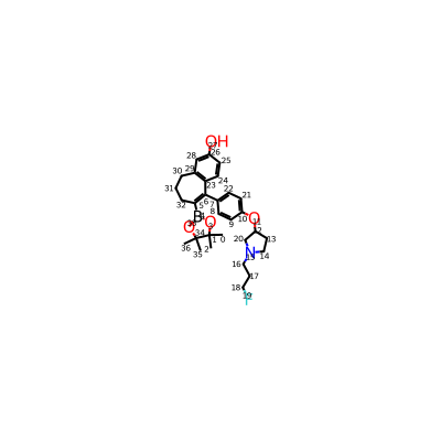 CC1(C)OB(C2=C(c3ccc(OC4CCN(CCCF)C4)cc3)c3ccc(O)cc3CCC2)OC1(C)C